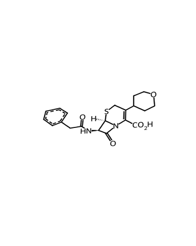 O=C(Cc1ccccc1)N[C@@H]1C(=O)N2C(C(=O)O)=C(C3CCOCC3)CS[C@H]12